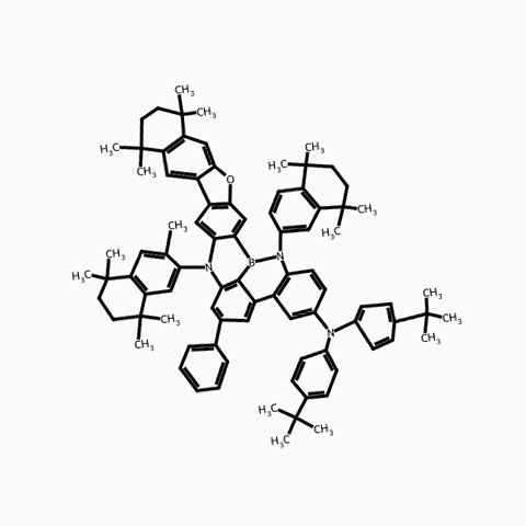 Cc1cc2c(cc1N1c3cc4c(cc3B3c5c(cc(-c6ccccc6)cc51)-c1cc(N(c5ccc(C(C)(C)C)cc5)c5ccc(C(C)(C)C)cc5)ccc1N3c1ccc3c(c1)C(C)(C)CCC3(C)C)oc1cc3c(cc14)C(C)(C)CCC3(C)C)C(C)(C)CCC2(C)C